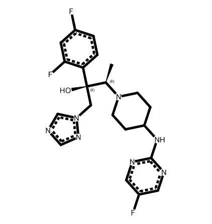 C[C@@H](N1CCC(Nc2ncc(F)cn2)CC1)[C@](O)(Cn1cncn1)c1ccc(F)cc1F